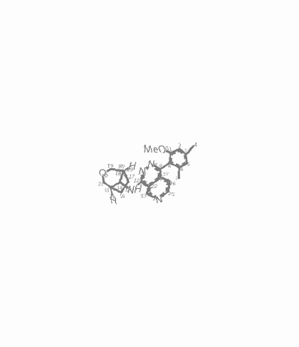 COc1cc(C)cc(C)c1-c1nnc(NC2[C@@H]3CC[C@H]2COC3)c2cnccc12